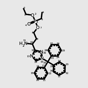 CCOP(=O)(CC)OCCC(N)c1ncn(C(c2ccccc2)(c2ccccc2)c2ccccc2)n1